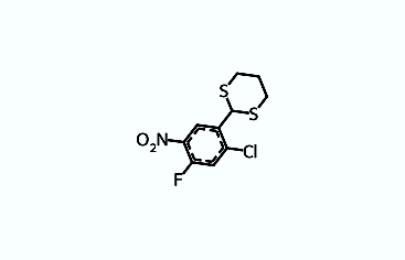 O=[N+]([O-])c1cc(C2SCCCS2)c(Cl)cc1F